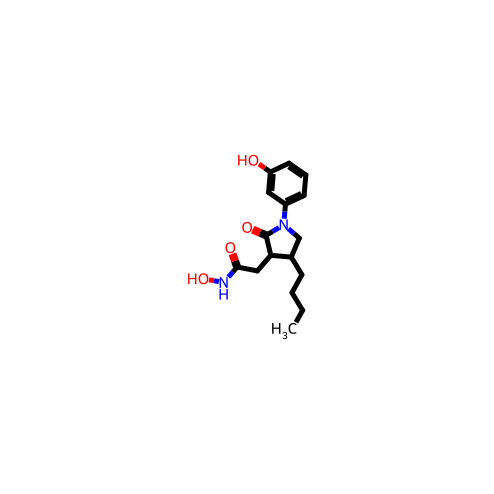 CCCCC1CN(c2cccc(O)c2)C(=O)C1CC(=O)NO